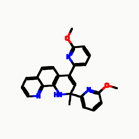 COc1cccc(C2=CC(C)(c3cccc(OC)n3)Nc3c2ccc2cccnc32)n1